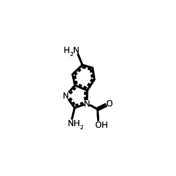 Nc1ccc2c(c1)nc(N)n2C(=O)O